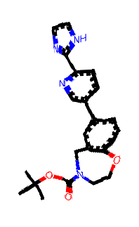 CC(C)(C)OC(=O)N1CCOc2ccc(-c3ccc(-c4ncc[nH]4)nc3)cc2C1